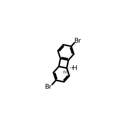 BrC1=CC2c3ccc(Br)cc3[C@H]2C=C1